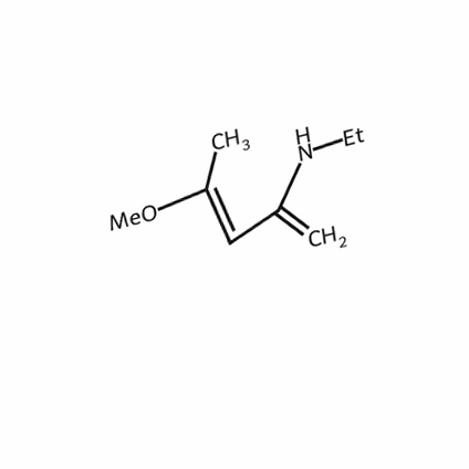 C=C(/C=C(\C)OC)NCC